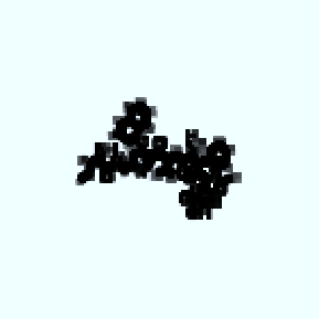 CC[C@H](C)[C@H](N)C(=O)NCc1cc(Oc2cccc3ccccc23)c(C(=O)C(CC(O)C(N)C(C(=O)[C@@H](NC(C)=O)[C@@H](C)OP(=O)(O)O)C2CCCCC2)C(C)C)cn1